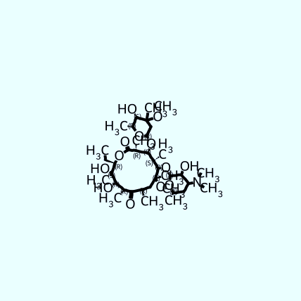 CC[C@H]1OC(=O)[C@H](C)[C@@H](O[C@H]2CC(C)(OC)[C@@H](O)[C@@H](C)O2)[C@H](C)[C@@H](O[C@@H]2O[C@H](C)CC(N(C)C)C2O)[C@](C)(OC)C[C@@H](C)C(=O)[C@H](C)[C@@H](O)[C@]1(C)O